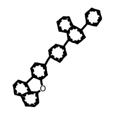 c1ccc(-c2ccc(-c3ccc(-c4ccc5c(c4)Oc4cccc6cccc-5c46)cc3)c3ccccc23)cc1